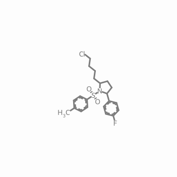 Cc1ccc(S(=O)(=O)N2C(CCCCCl)CCC2c2ccc(F)cc2)cc1